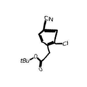 CC(C)(C)OC(=O)Cc1ccc(C#N)cc1Cl